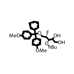 CCCCO[C@H](C(O)CO)[C@@H](F)COC(c1ccccc1)(c1ccc(OC)cc1)c1ccc(OC)cc1